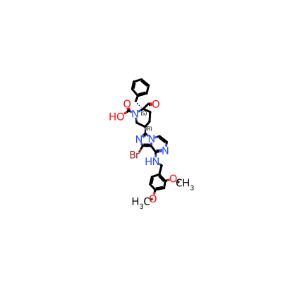 COc1ccc(CNc2nccn3c([C@@H]4CC[C@@](C=O)(Cc5ccccc5)N(C(=O)O)C4)nc(Br)c23)c(OC)c1